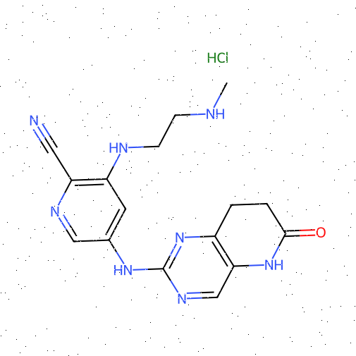 CNCCNc1cc(Nc2ncc3c(n2)CCC(=O)N3)cnc1C#N.Cl